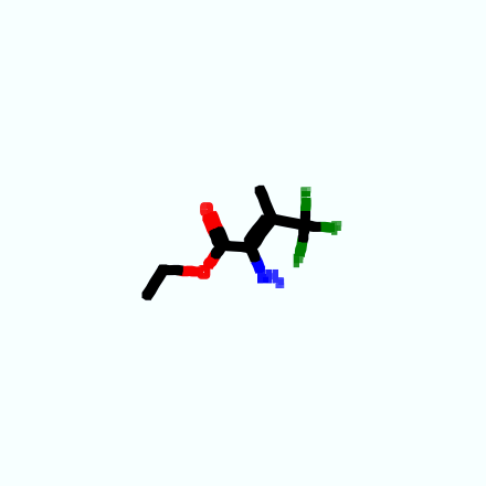 CCOC(=O)/C(N)=C(\C)C(F)(F)F